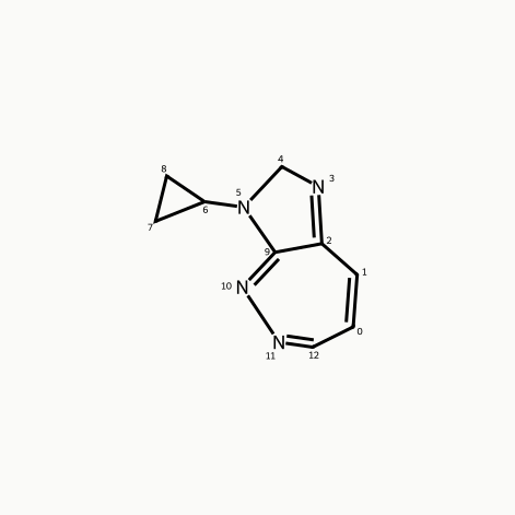 C1=CC2=NCN(C3CC3)C2=NN=C1